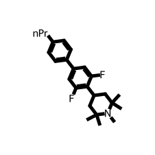 CCCc1ccc(-c2cc(F)c(C3CC(C)(C)N(C)C(C)(C)C3)c(F)c2)cc1